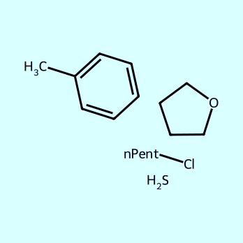 C1CCOC1.CCCCCCl.Cc1ccccc1.S